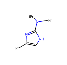 CC(C)c1c[nH]c(N(C(C)C)C(C)C)n1